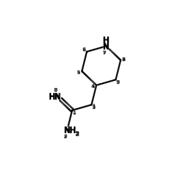 N=C(N)[CH]C1CCNCC1